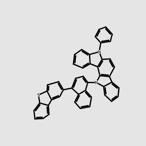 c1ccc(-n2c3ccccc3c3c2ccc2c4ccccc4n(-c4ccc(-c5ccc6sc7ccccc7c6c5)c5ccccc45)c23)cc1